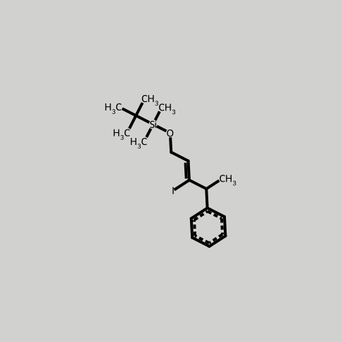 CC(C(I)=CCO[Si](C)(C)C(C)(C)C)c1ccccc1